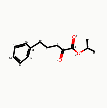 CC(C)OC(=O)C(=O)CCCc1ccccc1